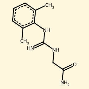 Cc1cccc(C)c1NC(=N)NCC(N)=O